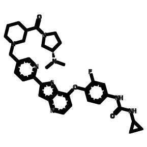 CN(C)[C@H]1CCN(C(=O)C2CCCN(Cc3ccc(-c4cc5nccc(Oc6ccc(NC(=O)NC7CC7)cc6F)c5s4)nc3)C2)C1